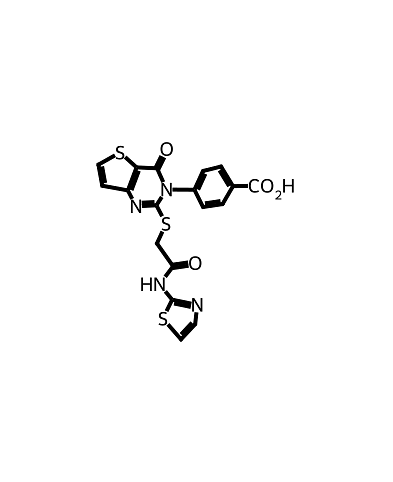 O=C(CSc1nc2ccsc2c(=O)n1-c1ccc(C(=O)O)cc1)Nc1nccs1